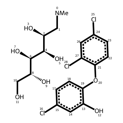 CNC[C@H](O)[C@@H](O)[C@H](O)[C@H](O)CO.Oc1cc(Cl)ccc1Oc1ccc(Cl)cc1Cl